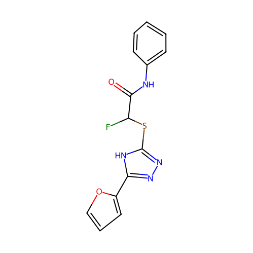 O=C(Nc1ccccc1)C(F)Sc1nnc(-c2ccco2)[nH]1